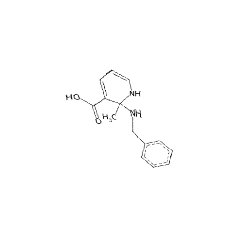 CC1(NCc2ccccc2)NC=CC=C1C(=O)O